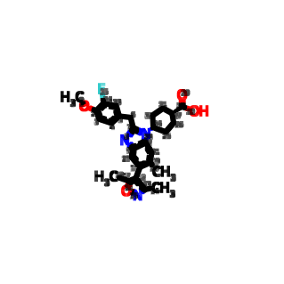 COc1ccc(Cc2nc3cc(-c4c(C)noc4C)c(C)cc3n2[C@H]2CC[C@H](C(=O)O)CC2)cc1F